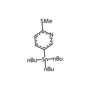 CCC[CH2][Sn]([CH2]CCC)([CH2]CCC)[c]1ccc(SC)nc1